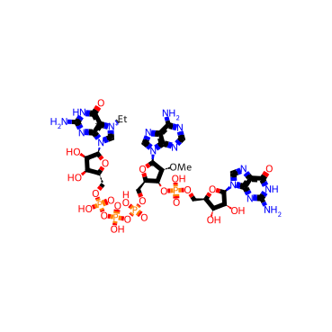 CC[n+]1cn([C@@H]2O[C@H](COP(=O)(O)OP(=O)(O)OP(=O)(O)OC[C@H]3O[C@@H](n4cnc5c(N)ncnc54)[C@H](OC)[C@@H]3OP(=O)(O)OC[C@H]3O[C@@H](n4cnc5c(=O)[nH]c(N)nc54)[C@H](O)[C@@H]3O)[C@@H](O)[C@H]2O)c2nc(N)[nH]c(=O)c21